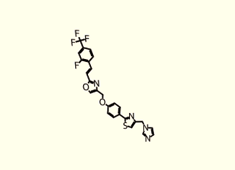 Fc1cc(C(F)(F)F)ccc1/C=C/c1nc(COc2ccc(-c3nc(Cn4ccnc4)cs3)cc2)co1